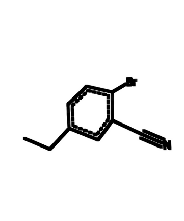 CCc1ccc(Br)c(C#N)c1